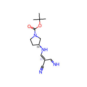 CC(C)(C)OC(=O)N1CC[C@H](N/C=C(/C#N)C=N)C1